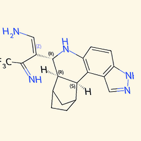 N=C(/C(=C\N)[C@@H]1Nc2ccc3[nH]ncc3c2[C@H]2C3CCC(C3)[C@@H]12)C(F)(F)F